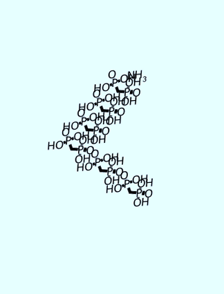 N.O=P(O)(O)CP(=O)(O)O.O=P(O)(O)CP(=O)(O)O.O=P(O)(O)CP(=O)(O)O.O=P(O)(O)CP(=O)(O)O.O=P(O)(O)CP(=O)(O)O.O=P(O)(O)CP(=O)(O)O